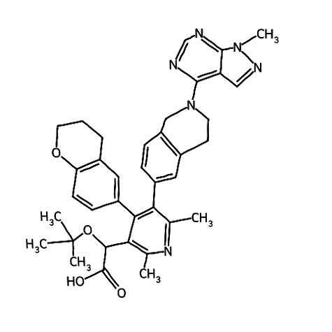 Cc1nc(C)c(C(OC(C)(C)C)C(=O)O)c(-c2ccc3c(c2)CCCO3)c1-c1ccc2c(c1)CCN(c1ncnc3c1cnn3C)C2